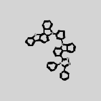 c1ccc(-c2nnc(-c3cccc4c3c3ccccc3n4-c3cccc(-n4c5ccccc5c5c6sc7ccccc7c6ccc54)c3)n2-c2ccccc2)cc1